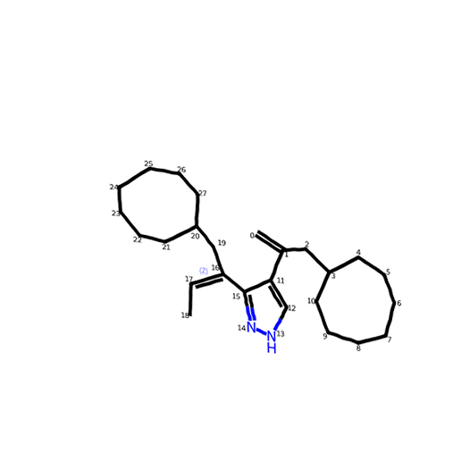 C=C(CC1CCCCCCC1)c1c[nH]nc1/C(=C\C)CC1CCCCCCC1